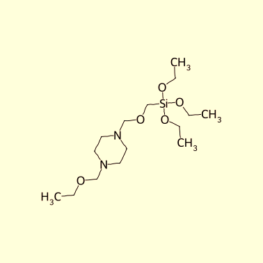 CCOCN1CCN(COC[Si](OCC)(OCC)OCC)CC1